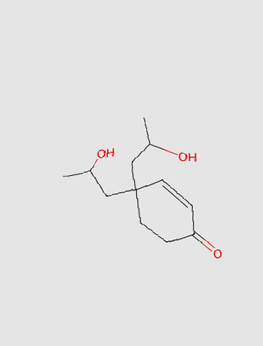 CC(O)CC1(CC(C)O)C=CC(=O)CC1